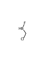 FBCCl